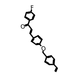 C=Cc1ccc(COc2ccc(C=CC(=O)c3ccc(F)cc3)cc2)cc1